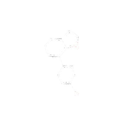 Brc1ccc(-c2cccc3ccoc23)cc1